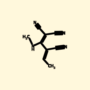 CC=C(C#N)C(NC)=C(C#N)C#N